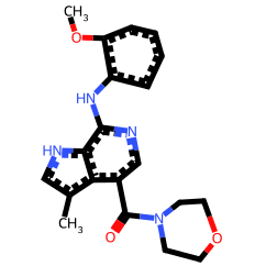 COc1ccccc1Nc1ncc(C(=O)N2CCOCC2)c2c(C)c[nH]c12